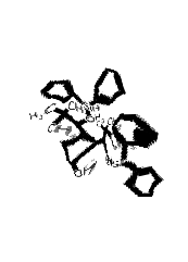 CC(C)(C)C(O[SiH](c1ccccc1)c1ccccc1)C1CC(O)C1C(O[SiH](c1ccccc1)c1ccccc1)C(C)(C)C